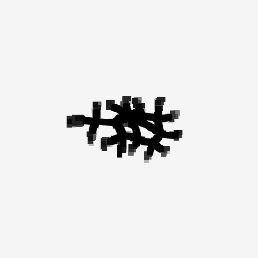 O=C1C2(F)C(F)(F)C3(F)C(F)(F)C1(F)C(F)(F)C(C(O)(F)F)(C2(F)F)C3(F)F